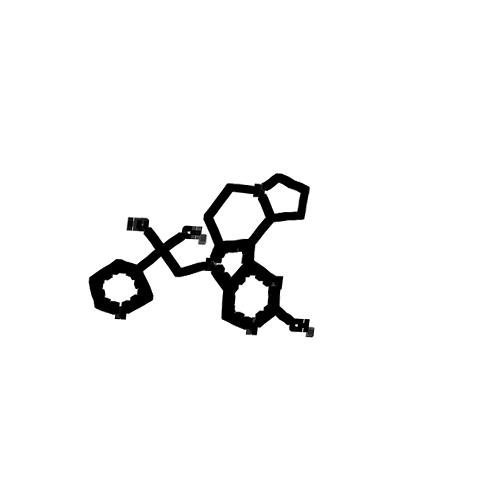 Cc1ncc2c(n1)c1c(n2CC(C)(O)c2cccnc2)CCN2CCCC12